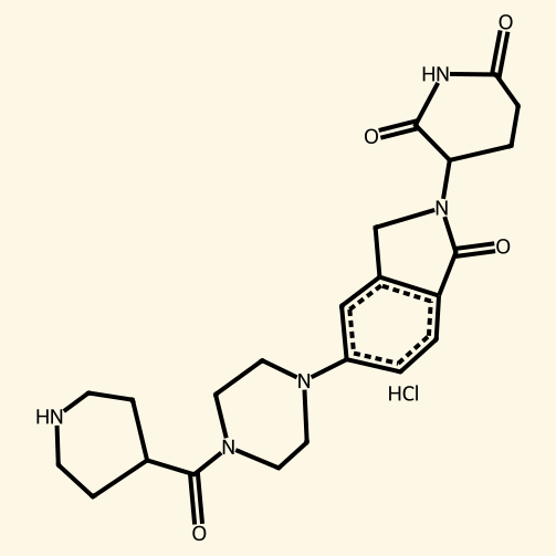 Cl.O=C1CCC(N2Cc3cc(N4CCN(C(=O)C5CCNCC5)CC4)ccc3C2=O)C(=O)N1